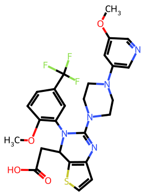 COc1cncc(N2CCN(C3=Nc4ccsc4C(CC(=O)O)N3c3cc(C(F)(F)F)ccc3OC)CC2)c1